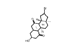 C[C@]12CC[C@@H]3[C@@H](C(=O)CC4CC(O)CC(=O)[C@@]43C)[C@@H]1CC(Br)C2